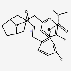 CN(C)C(=O)Nc1cc(Cl)ccc1/C=C/C(=O)N1C2CCC1CN(Cc1ccc(F)cc1)C2